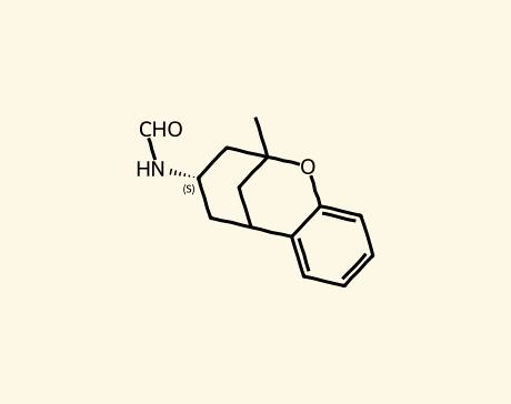 CC12CC(C[C@H](NC=O)C1)c1ccccc1O2